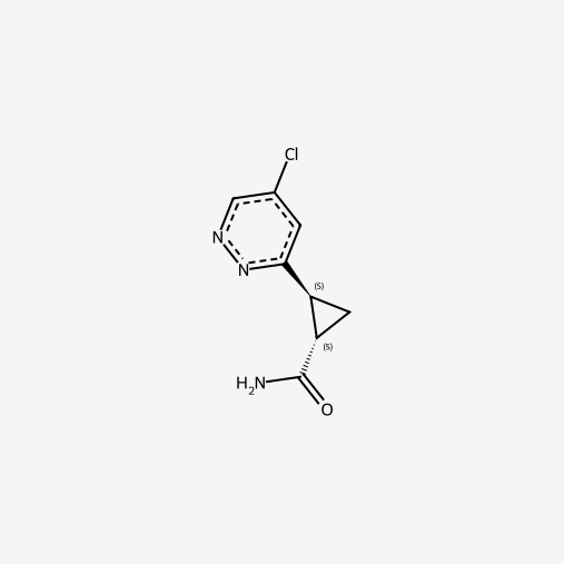 NC(=O)[C@H]1C[C@@H]1c1cc(Cl)cnn1